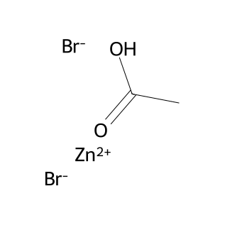 CC(=O)O.[Br-].[Br-].[Zn+2]